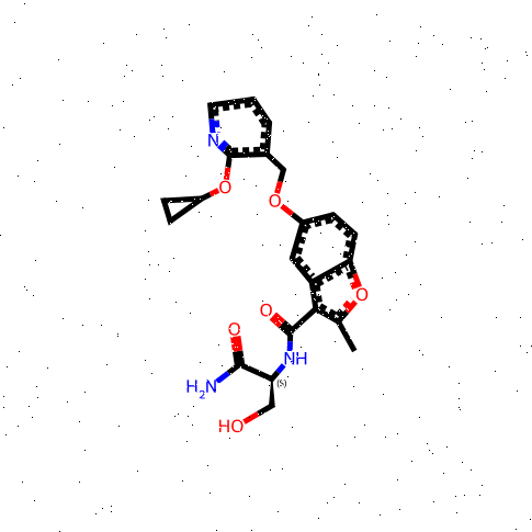 Cc1oc2ccc(OCc3cccnc3OC3CC3)cc2c1C(=O)N[C@@H](CO)C(N)=O